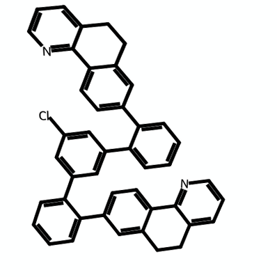 Clc1cc(-c2ccccc2-c2ccc3c(c2)CCc2cccnc2-3)cc(-c2ccccc2-c2ccc3c(c2)CCc2cccnc2-3)c1